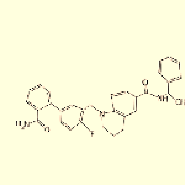 CC(NC(=O)c1ccc2c(c1)CCCN2Cc1cc(-c2ccccc2C(N)=O)ccc1F)c1ccccc1